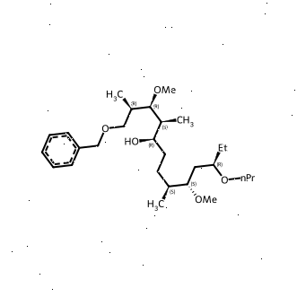 CCCO[C@H](CC)C[C@H](OC)[C@@H](C)CC[C@@H](O)[C@H](C)[C@H](OC)[C@H](C)COCc1ccccc1